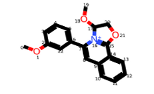 COc1cccc(-c2cc3ccccc3c3[n+]2C(OC)CO3)c1